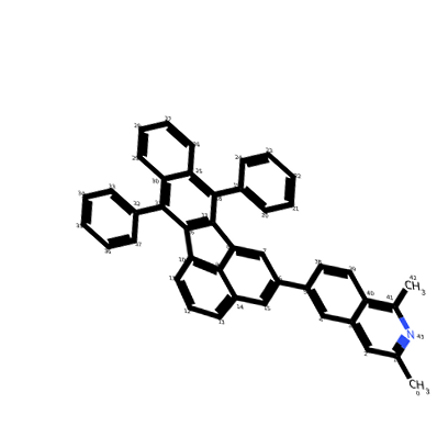 Cc1cc2cc(-c3cc4c5c(cccc5c3)-c3c-4c(-c4ccccc4)c4ccccc4c3-c3ccccc3)ccc2c(C)n1